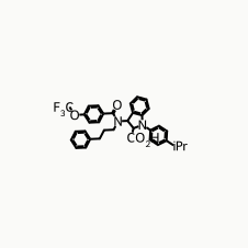 CC(C)c1ccc(N2c3ccccc3C(N(CCCc3ccccc3)C(=O)c3ccc(OC(F)(F)F)cc3)C2C(=O)O)cc1